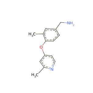 Cc1cc(Oc2ccc(CN)cc2C)ccn1